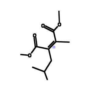 COC(=O)/C(C)=C(/CC(C)C)C(=O)OC